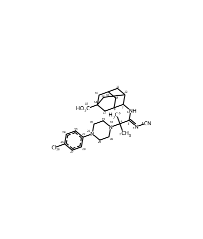 CC(C)(/C(=N/C#N)NC1C2CC3CC1CC(C(=O)O)(C3)C2)N1CCN(c2ccc(Cl)cc2)CC1